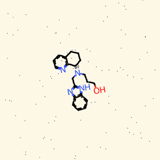 OCCCN(Cc1nc2ccccc2[nH]1)[C@H]1CCCc2cccnc21